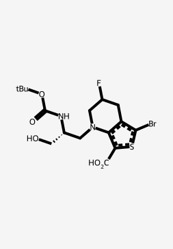 CC(C)(C)OC(=O)N[C@@H](CO)CN1CC(F)Cc2c(Br)sc(C(=O)O)c21